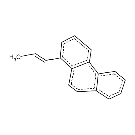 CC=Cc1cccc2c1ccc1ccccc12